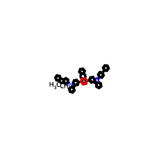 CC1(C)c2ccccc2-c2ccc(-n3c4ccccc4c4cc(-c5ccc(-c6ccc7c(c6)c6ccccc6n7-c6ccc(-c7ccccc7)cc6)c6c5C5c7ccccc7C6c6ccccc65)ccc43)cc21